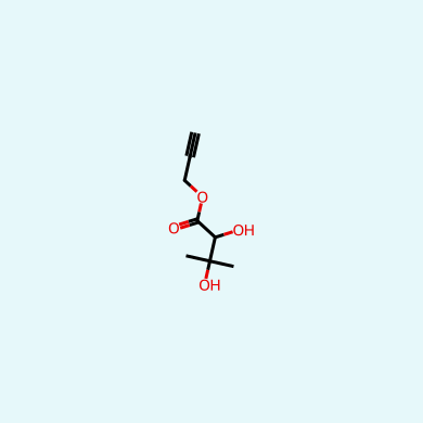 C#CCOC(=O)C(O)C(C)(C)O